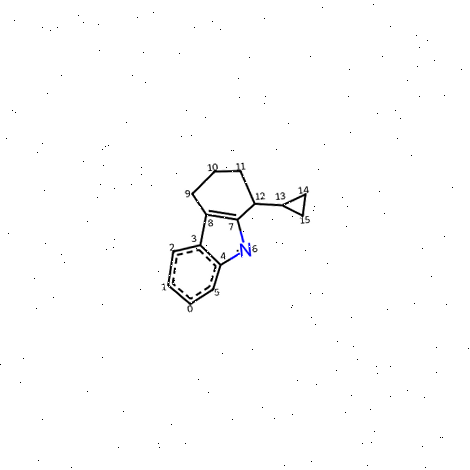 c1ccc2c(c1)[N]C1=C2CCCC1C1CC1